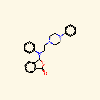 O=C1OC(N(CCN2CCN(c3ccccc3)CC2)c2ccccc2)c2ccccc21